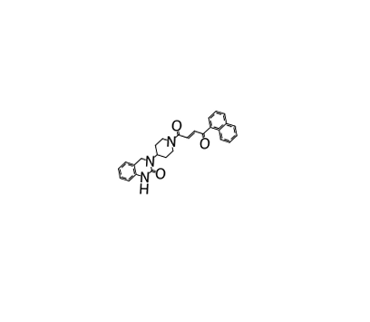 O=C(C=CC(=O)N1CCC(N2Cc3ccccc3NC2=O)CC1)c1cccc2ccccc12